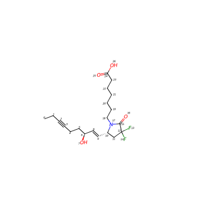 CCC#CCC[C@H](O)C=C[C@H]1CC(F)(F)C(=O)N1CCCCCCC(=O)O